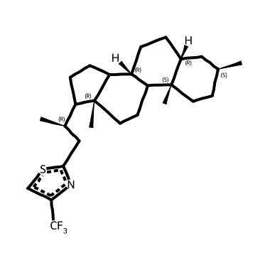 C[C@H]1CC[C@]2(C)C3CC[C@@]4(C)C(CCC4[C@H](C)Cc4nc(C(F)(F)F)cs4)[C@@H]3CC[C@@H]2C1